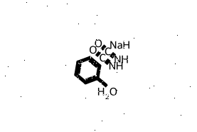 Cc1ccccc1.N=C=O.N=C=O.O.[NaH]